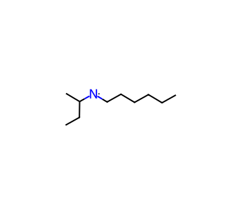 CCCCCC[N]C(C)CC